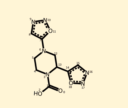 O=C(O)N1CCN(c2cnno2)CC1c1cnno1